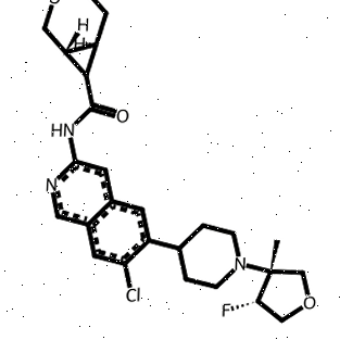 C[C@@]1(N2CCC(c3cc4cc(NC(=O)C5[C@@H]6CCOC[C@@H]56)ncc4cc3Cl)CC2)COC[C@@H]1F